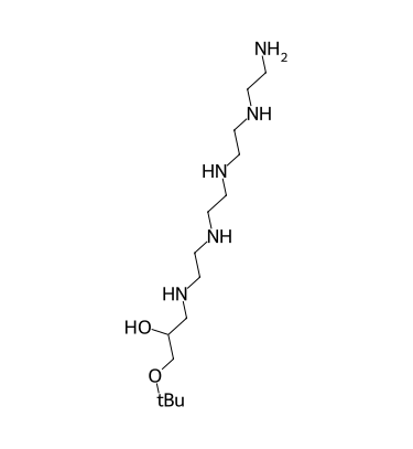 CC(C)(C)OCC(O)CNCCNCCNCCNCCN